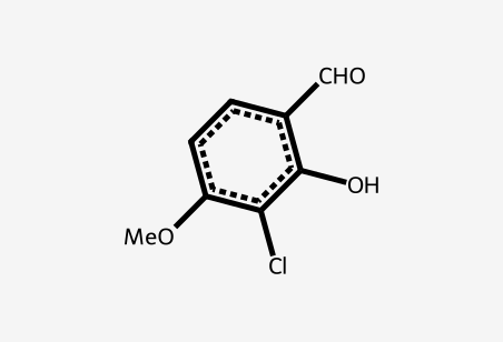 COc1ccc(C=O)c(O)c1Cl